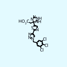 O=C(O)CC1(c2cnc(-c3cn(Cc4cc(Cl)c(Cl)c(Cl)c4)nn3)s2)N=NNN1